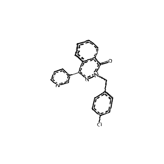 O=c1c2ccccc2c(-c2cccnc2)nn1Cc1ccc(Cl)cc1